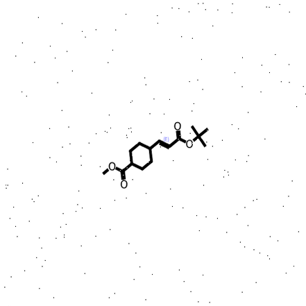 COC(=O)C1CCC(/C=C/C(=O)OC(C)(C)C)CC1